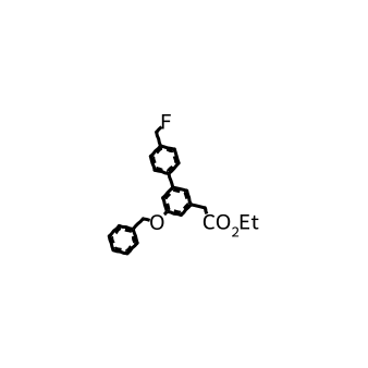 CCOC(=O)Cc1cc(OCc2ccccc2)cc(-c2ccc(CF)cc2)c1